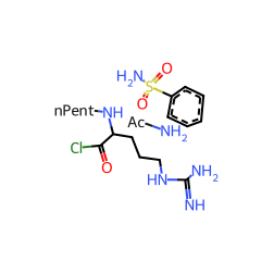 CC(N)=O.CCCCCNC(CCCNC(=N)N)C(=O)Cl.NS(=O)(=O)c1ccccc1